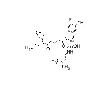 CCCN(CCC)C(=O)CCCC(=O)N[C@@H](Cc1ccc(F)c(C)c1)[C@H](O)CNCCC(C)C